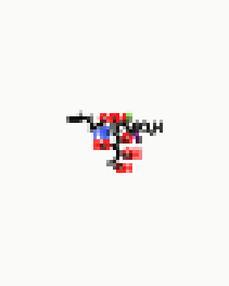 C#CCCC(=O)N[C@@H]1C(O)C(F)[C@](I)(C(=O)O)OC1[C@H](O)[C@H](O)CO